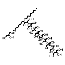 CSCCCCCCSCCCCCCSC.OCC(O)CO.OCC(O)CO.OCC(O)CO.OCC(O)CO.OCC(O)CO.OCC(O)CO.OCC(O)CO.OCC(O)CO.OCC(O)CO.OCC(O)CO